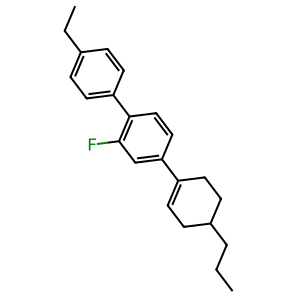 CCCC1CC=C(c2ccc(-c3ccc(CC)cc3)c(F)c2)CC1